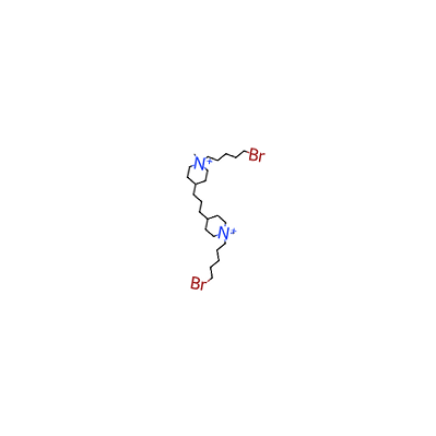 C[N+]1(CCCCCBr)CCC(CCCC2CC[N+](C)(CCCCCBr)CC2)CC1